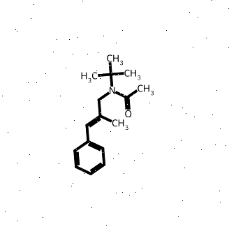 CC(=O)N(C/C(C)=C/c1ccccc1)C(C)(C)C